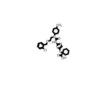 CC1CCC(N(CCOCc2ccccc2Cl)C(=O)Nc2ncc(SC3(C(=O)O)CCCCC3)s2)CC1